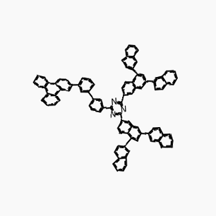 c1cc(-c2cccc(-c3nc(-c4ccc5c(-c6ccc7ccccc7c6)cc(-c6ccc7ccccc7c6)cc5c4)nc(-c4ccc5c(-c6ccc7ccccc7c6)cc(-c6ccc7ccccc7c6)cc5c4)n3)c2)cc(-c2ccc3c4ccccc4c4ccccc4c3c2)c1